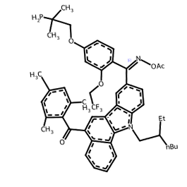 CCCCC(CC)Cn1c2ccc(/C(=N\OC(C)=O)c3ccc(OCC(C)(C)P)cc3OCC(F)(F)F)cc2c2cc(C(=O)c3c(C)cc(C)cc3C)c3ccccc3c21